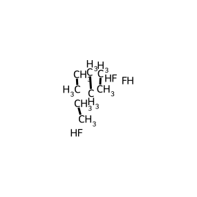 CC.CC.CC.CC.F.F.F